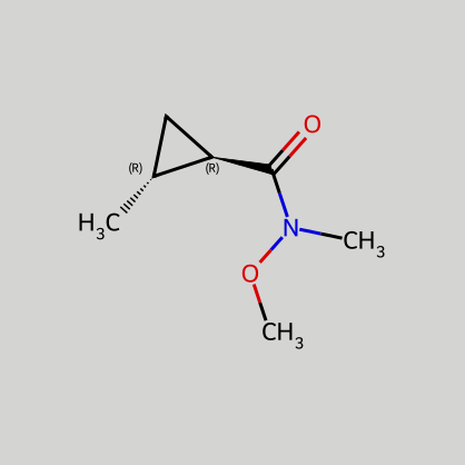 CON(C)C(=O)[C@@H]1C[C@H]1C